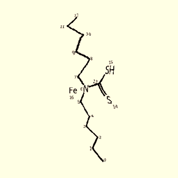 CCCCCCN(CCCCCC)C(=S)S.[Fe]